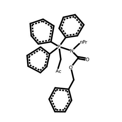 CCCN(C(=O)OCc1ccccc1)P(CC(C)=O)(c1ccccc1)(c1ccccc1)c1ccccc1